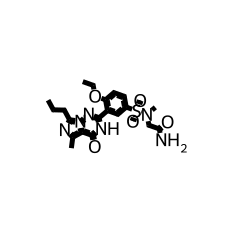 CCCc1nc(C)c2c(=O)[nH]c(-c3cc(S(=O)(=O)N(C)CC(N)=O)ccc3OCC)nn12